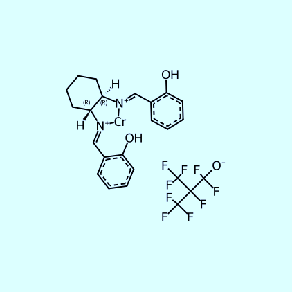 Oc1ccccc1C=[N+]1[Cr][N+](=Cc2ccccc2O)[C@@H]2CCCC[C@H]21.[O-]C(F)(F)C(F)(C(F)(F)F)C(F)(F)F